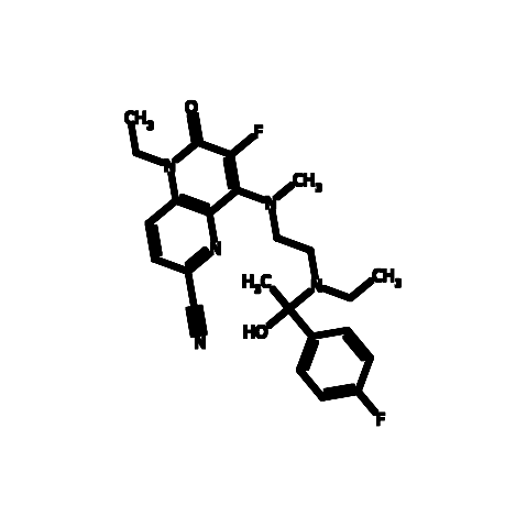 CCN(CCN(C)c1c(F)c(=O)n(CC)c2ccc(C#N)nc12)C(C)(O)c1ccc(F)cc1